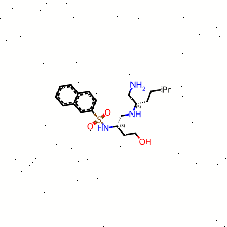 CC(C)CC[C@@H](CN)NC[C@H](CCO)NS(=O)(=O)c1ccc2ccccc2c1